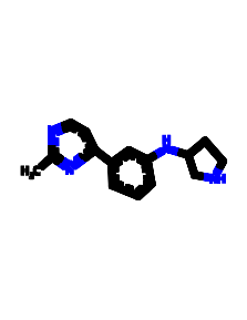 Cc1nccc(-c2cccc(NC3CCNC3)c2)n1